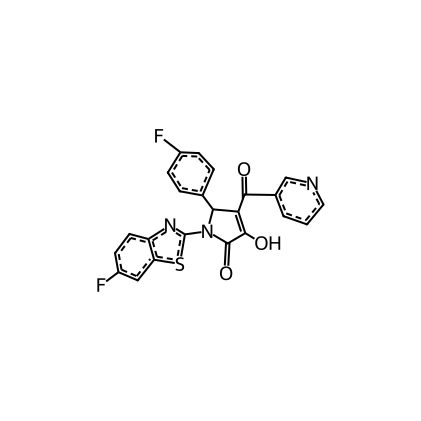 O=C(C1=C(O)C(=O)N(c2nc3ccc(F)cc3s2)C1c1ccc(F)cc1)c1cccnc1